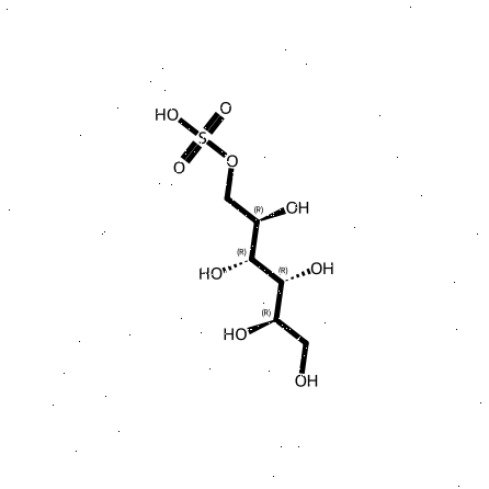 O=S(=O)(O)OC[C@@H](O)[C@@H](O)[C@H](O)[C@H](O)CO